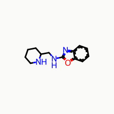 c1ccc2oc(NCC3CCCCN3)nc2c1